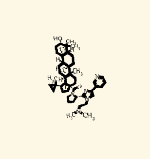 CN(C)CCn1cc(-c2cccnc2)nc1[C@@H]1CCCN1C(=O)[C@]12CC[C@@H](C3(C)CC3)[C@@H]1[C@H]1CC[C@@H]3[C@@]4(C)CC[C@H](O)C(C)(C)[C@@H]4CC[C@@]3(C)[C@]1(C)CC2